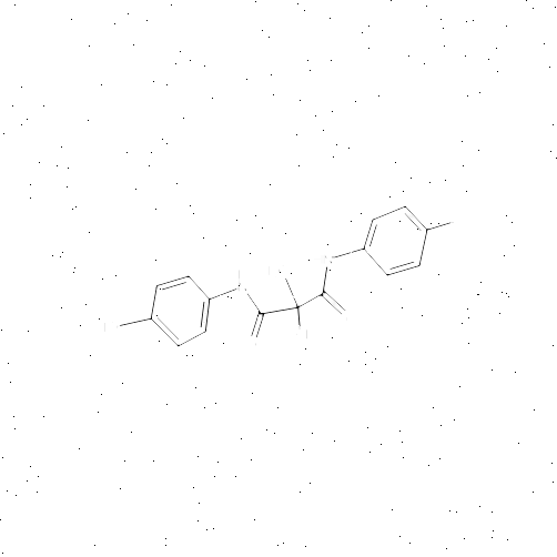 CC(C)(C(=O)Nc1ccc(O)cc1)C(=O)Nc1ccc(F)cc1